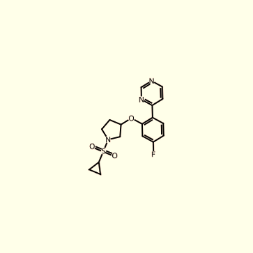 O=S(=O)(C1CC1)N1CCC(Oc2cc(F)ccc2-c2ccncn2)C1